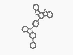 C1=CCC2C(=C1)c1cc(-c3ccccc3)ccc1N2c1ccc(-c2cc3c4ccccc4oc3c3c2sc2ccccc23)cc1